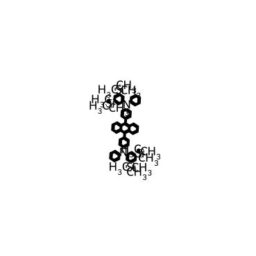 C[Si](C)(C)c1cc(N(c2ccccc2)c2ccc(-c3c4ccccc4c(-c4ccc(N(c5ccccc5)c5cc([Si](C)(C)C)cc([Si](C)(C)C)c5)cc4)c4ccccc34)cc2)cc([Si](C)(C)C)c1